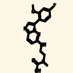 COc1cc(F)ccc1-c1cnc2ccc(NCCN(C)C(=O)O)nn12